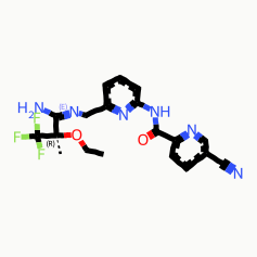 CCO[C@](C)(/C(N)=N\Cc1cccc(NC(=O)c2ccc(C#N)cn2)n1)C(F)(F)F